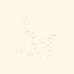 c1ccc(N(c2ccc(-c3nnc(-c4ccc5ccccc5c4)o3)cc2)c2ccc(-c3nc4ccccc4nc3-c3ccc(N(c4ccccc4)c4ccc(-c5nnc(-c6ccc7ccccc7c6)o5)cc4)cc3)cc2)cc1